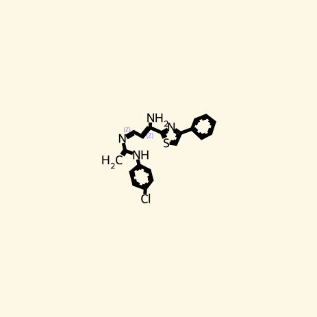 C=C(/N=C\C=C(/N)c1nc(-c2ccccc2)cs1)Nc1ccc(Cl)cc1